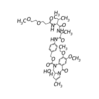 CCOc1cc2c(cc1OC)C(=O)N1C=C(C)C[C@H]1[C@H](O)N2C(=O)OCc1ccc(NC(=O)[C@H](C)NC(=O)[C@@H](NC(=O)CCOCCOC)C(C)C)cc1